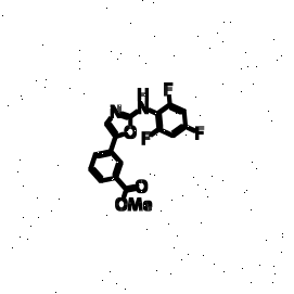 COC(=O)c1cccc(-c2cnc(Nc3c(F)cc(F)cc3F)o2)c1